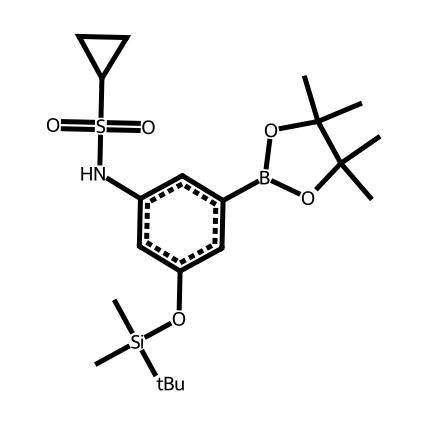 CC1(C)OB(c2cc(NS(=O)(=O)C3CC3)cc(O[Si](C)(C)C(C)(C)C)c2)OC1(C)C